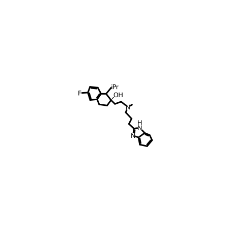 CC(C)C1c2ccc(F)cc2CC[C@]1(O)CCN(C)CCCc1nc2ccccc2[nH]1